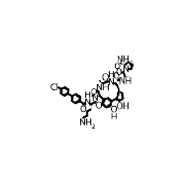 C[C@@H]1NC(=O)[C@@H](N(C)C(=O)[C@H](CCCCN)NC(=O)c2ccc(-c3ccc(Cl)cc3)cc2)c2ccc(O)c(c2)-c2cc(ccc2O)C[C@@H](C(=O)N[C@@H](C)C(=O)N2CCC[C@H]2C(N)=O)NC1=O